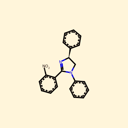 O=[N+]([O-])c1ccccc1C1=N[C@@H](c2ccccc2)CN1c1ccccc1